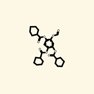 O=COc1cc(OC(=O)C2CCCCC2)c(OC(=O)C2CCCCC2)cc1OC(=O)C1CCCCC1